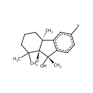 CC1(C)CCC[C@@]2(C)c3cc(F)ccc3[C@](C)(O)[C@H]12